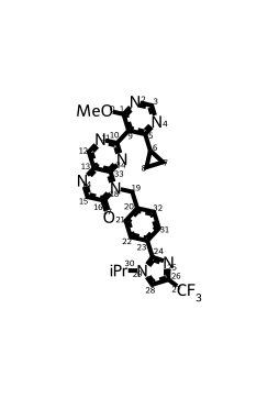 COc1ncnc(C2CC2)c1-c1ncc2ncc(=O)n(Cc3ccc(-c4nc(C(F)(F)F)cn4C(C)C)cc3)c2n1